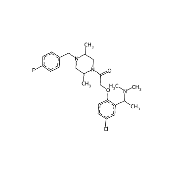 CC(c1cc(Cl)ccc1OCC(=O)N1CC(C)N(Cc2ccc(F)cc2)CC1C)N(C)C